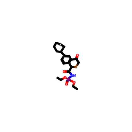 CCOP(=O)(NC(=O)C1SCC(=O)c2cc(C3CCCCC3)ccc21)OCC